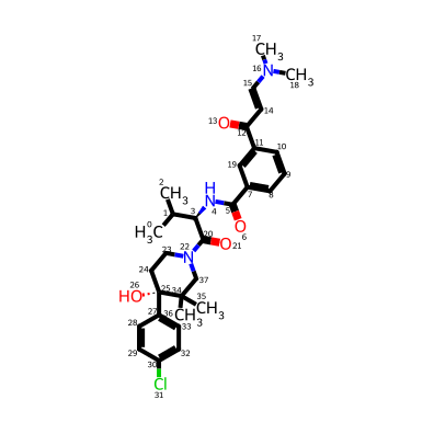 CC(C)[C@@H](NC(=O)c1cccc(C(=O)C=CN(C)C)c1)C(=O)N1CC[C@](O)(c2ccc(Cl)cc2)C(C)(C)C1